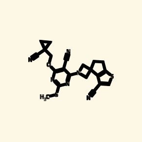 CSc1nc(OCC2(C#N)CC2)c(C#N)c(N2CC3(CCc4scc(C#N)c43)C2)n1